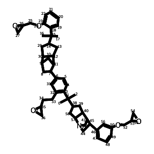 CC(C)(c1ccc(C2CC3CC2C2CC(C(C)(C)c4ccccc4OCC4CO4)CC32)cc1CCC1CO1)C1CC2C3CN(CC3c3cccc(OCC4CO4)c3)C2C1